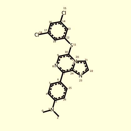 CN(C)c1ccc(-c2ncc(Sc3cc(Cl)cc(Cl)c3)n3ccnc23)cc1